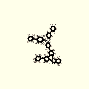 c1ccc(-c2ccc(N(c3ccc(-c4ccccc4)cc3)c3ccc(-c4ccc5c(c4)c4cc(-c6ccccc6)ccc4c4nc6ccccc6n54)cc3)cc2)cc1